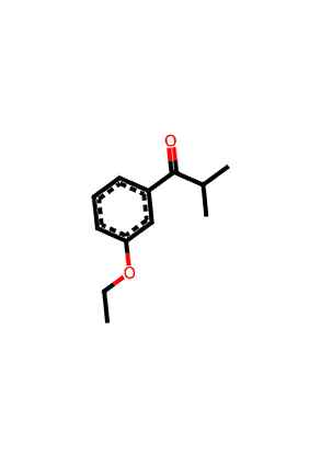 CCOc1cccc(C(=O)C(C)C)c1